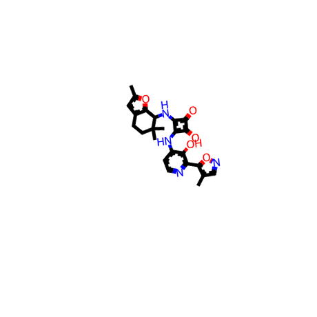 Cc1cc2c(o1)C(Nc1c(Nc3ccnc(-c4oncc4C)c3O)c(=O)c1=O)C(C)(C)CC2